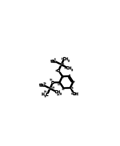 CC(C)(C)[Si](C)(C)OC1C=C[C@@H](O)CC1O[Si](C)(C)C(C)(C)C